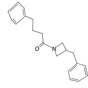 O=C(CCCc1ccccc1)N1CC(Cc2ccccc2)C1